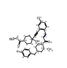 C[C@@H]1CN(Cc2ccc(F)cc2)CCN1C(=O)/C=C/c1ccc(Cl)cc1C#CC1(O)CCN(C(=O)OC(C)(C)C)CC1